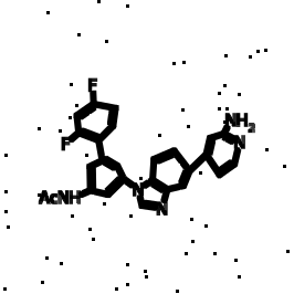 CC(=O)Nc1cc(-c2ccc(F)cc2F)cc(-n2cnc3cc(-c4ccnc(N)c4)ccc32)c1